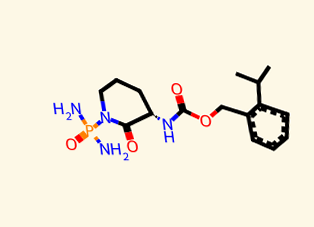 CC(C)c1ccccc1COC(=O)N[C@H]1CCCN(P(N)(N)=O)C1=O